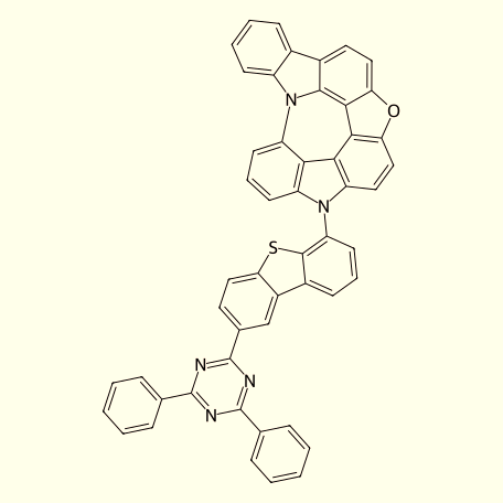 c1ccc(-c2nc(-c3ccccc3)nc(-c3ccc4sc5c(-n6c7ccc8oc9ccc%10c%11ccccc%11n%11c%12cccc6c%12c7c8c9c%10%11)cccc5c4c3)n2)cc1